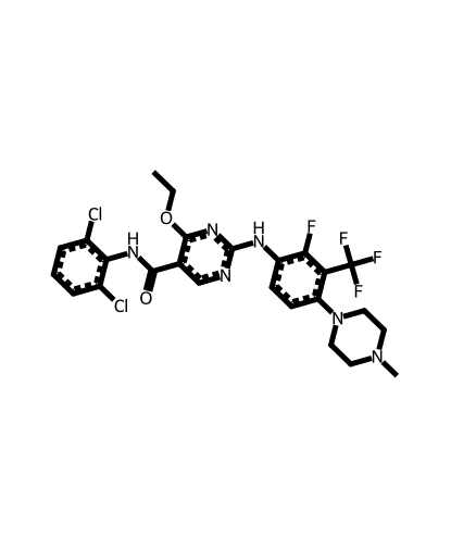 CCOc1nc(Nc2ccc(N3CCN(C)CC3)c(C(F)(F)F)c2F)ncc1C(=O)Nc1c(Cl)cccc1Cl